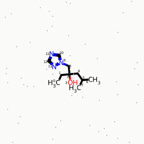 CCC(O)(CC(C)C)Cn1cncn1